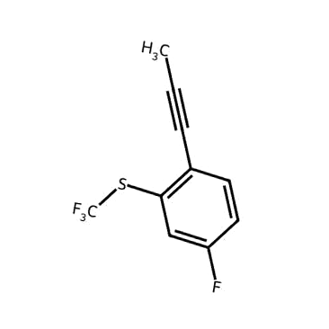 CC#Cc1ccc(F)cc1SC(F)(F)F